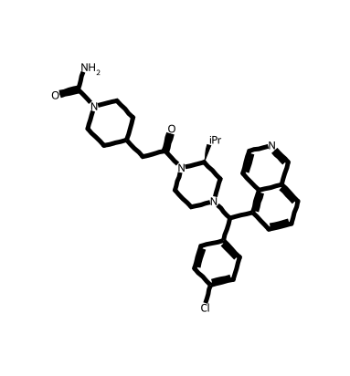 CC(C)[C@H]1CN(C(c2ccc(Cl)cc2)c2cccc3cnccc23)CCN1C(=O)CC1CCN(C(N)=O)CC1